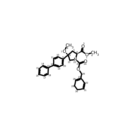 COC(=O)[C@@H]1C[C@@](OC)(c2ccc(-c3ccccc3)cc2)CN1C(=O)OCC1=CCCC=C1